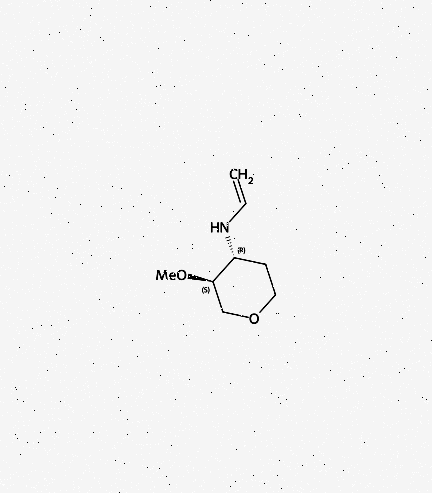 C=CN[C@@H]1CCOC[C@H]1OC